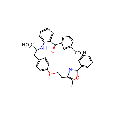 Cc1oc(-c2ccccc2)nc1CCOc1ccc(CC(Nc2ccccc2C(=O)c2cccc(C(=O)O)c2)C(=O)O)cc1